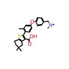 Cc1cc(Oc2ccc(CN(C)C)cc2)ccc1-c1sc2c(c1C(=O)O)CC(C)(C)CC2